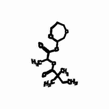 CCC(C)(C)C(=O)OC(C)C(=O)OC1COCCCO1